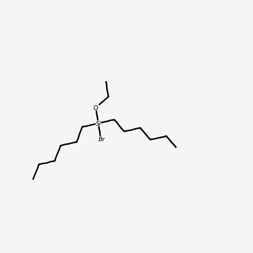 CCCCCC[Si](Br)(CCCCCC)OCC